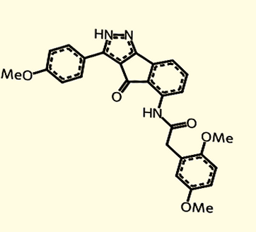 COc1ccc(-c2[nH]nc3c2C(=O)c2c(NC(=O)Cc4cc(OC)ccc4OC)cccc2-3)cc1